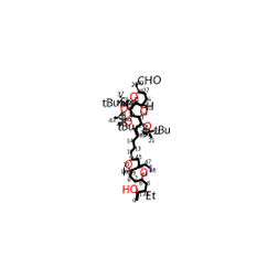 C=C(O)C(CC)CC1CC[C@@H]2O[C@@H](CCC/C=C/[C@H](O[Si](C)(C)C(C)(C)C)[C@@H]3O[C@H]4CC[C@H](CC=O)O[C@@H]4C(O[Si](C)(C)C(C)(C)C)C3O[Si](C)(C)C(C)(C)C)CC2(CI)O1